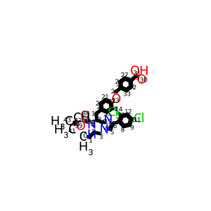 CCCCn1cc(-c2ccc(Cl)cc2Cl)nc1C(Cc1ccc(OCc2ccc(C(=O)O)cc2)cc1)NC(=O)OC(C)(C)C